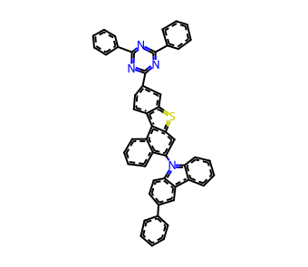 c1ccc(-c2ccc3c(c2)c2ccccc2n3-c2cc3sc4cc(-c5nc(-c6ccccc6)nc(-c6ccccc6)n5)ccc4c3c3ccccc23)cc1